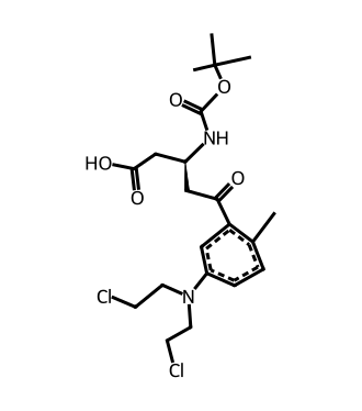 Cc1ccc(N(CCCl)CCCl)cc1C(=O)C[C@@H](CC(=O)O)NC(=O)OC(C)(C)C